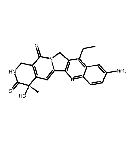 CCc1c2c(nc3ccc(N)cc13)-c1cc3c(c(=O)n1C2)CNC(=O)[C@@]3(C)O